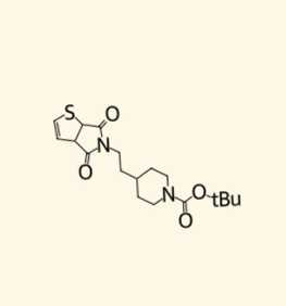 CC(C)(C)OC(=O)N1CCC(CCN2C(=O)C3C=CSC3C2=O)CC1